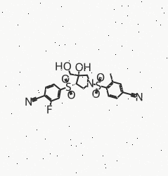 Cc1cc(C#N)ccc1S(=O)(=O)N1C[C@H](S(=O)(=O)c2ccc(C#N)c(F)c2)[C@](O)(CO)C1